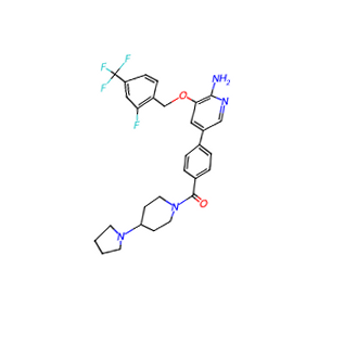 Nc1ncc(-c2ccc(C(=O)N3CCC(N4CCCC4)CC3)cc2)cc1OCc1ccc(C(F)(F)F)cc1F